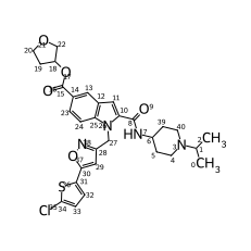 CC(C)N1CCC(NC(=O)c2cc3cc(C(=O)OC4CCOC4)ccc3n2Cc2cc(-c3ccc(Cl)s3)on2)CC1